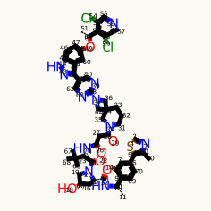 Cc1ncsc1-c1ccc([C@H](C)NC(=O)[C@@H]2C[C@@H](O)CN2C(=O)[C@@H](NC(=O)CC(=O)N2CCCC3(C2)CN(c2ncc(-c4n[nH]c5ccc(O[C@H](C)c6c(Cl)cncc6Cl)cc45)cn2)C3)C(C)(C)C)cc1